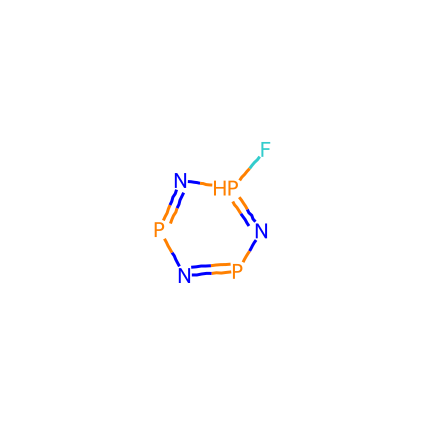 F[PH]1=NP=NP=N1